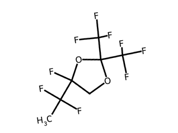 CC(F)(F)C1(F)COC(C(F)(F)F)(C(F)(F)F)O1